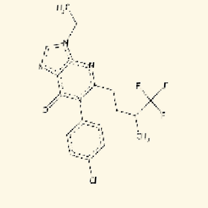 CCn1cnc2c(=O)n(-c3ccc(Cl)cc3)c(CCC(C)C(F)(F)F)nc21